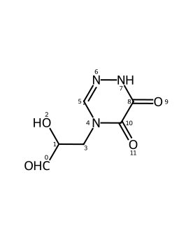 O=CC(O)Cn1[c]n[nH]c(=O)c1=O